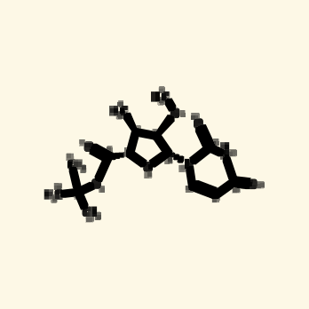 CO[C@@H]1[C@H](C)[C@@H](C(=O)OC(C)(C)C)O[C@H]1n1ccc(=O)[nH]c1=O